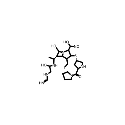 CC(NC(O)CNC=N)[C@H]1C(O)N2C(C(O)N=O)C(S[C@@H]3CNC(C(=O)N4CCCC4)C3)C(CI)C12